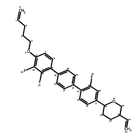 C=CCCCOc1ccc(-c2ccc(-c3ccc(C4CCC(C=C)CO4)cc3F)cc2)c(F)c1F